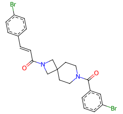 O=C(/C=C/c1ccc(Br)cc1)N1CC2(CCN(C(=O)c3cccc(Br)c3)CC2)C1